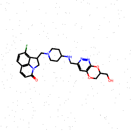 O=c1ccc2ccc(F)c3c2n1CC3CN1CCC(NCc2cc3c(nn2)OC(CO)CO3)CC1